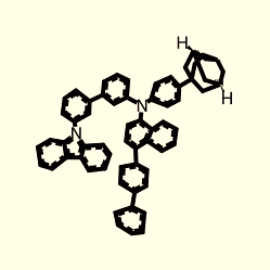 c1ccc(-c2ccc(-c3ccc(N(c4ccc(C56CCC7C[C@H](C[C@@H](C7)C5)C6)cc4)c4cccc(-c5cccc(-n6c7ccccc7c7ccccc76)c5)c4)c4ccccc34)cc2)cc1